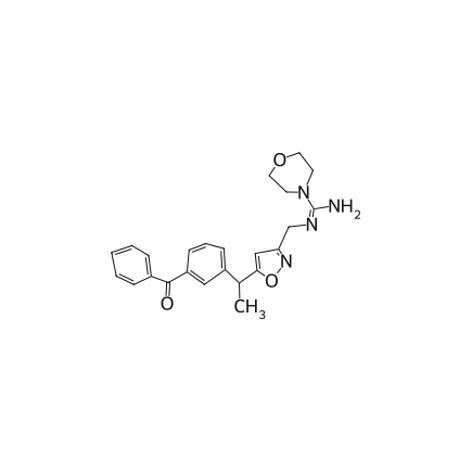 CC(c1cccc(C(=O)c2ccccc2)c1)c1cc(CN=C(N)N2CCOCC2)no1